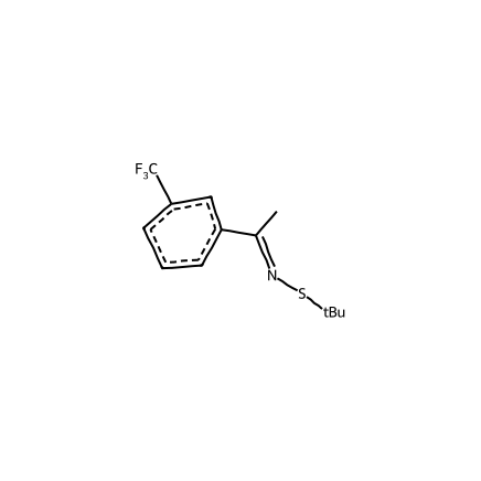 C/C(=N\SC(C)(C)C)c1cccc(C(F)(F)F)c1